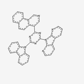 c1ccc2c(c1)ccc1c(-c3nc(-n4c5ccccc5c5ccccc54)nc(-n4c5ncccc5c5cccnc54)n3)cncc12